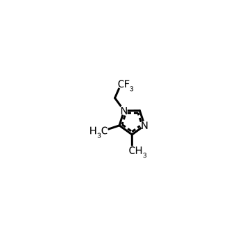 Cc1ncn(CC(F)(F)F)c1C